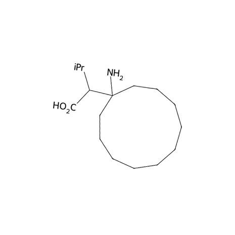 CC(C)C(C(=O)O)C1(N)CCCCCCCCCC1